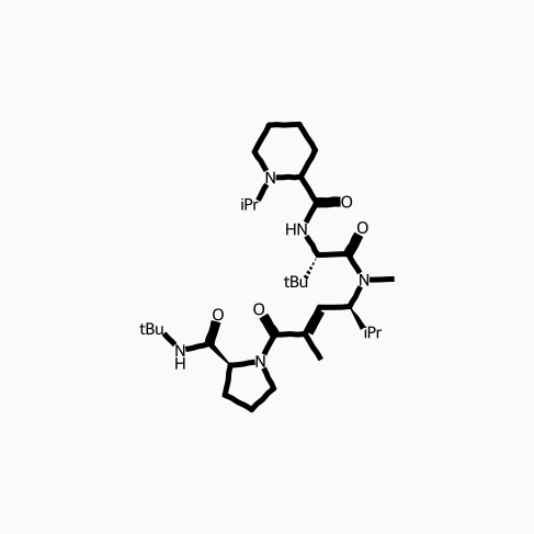 C/C(=C\[C@H](C(C)C)N(C)C(=O)[C@@H](NC(=O)C1CCCCN1C(C)C)C(C)(C)C)C(=O)N1CCC[C@H]1C(=O)NC(C)(C)C